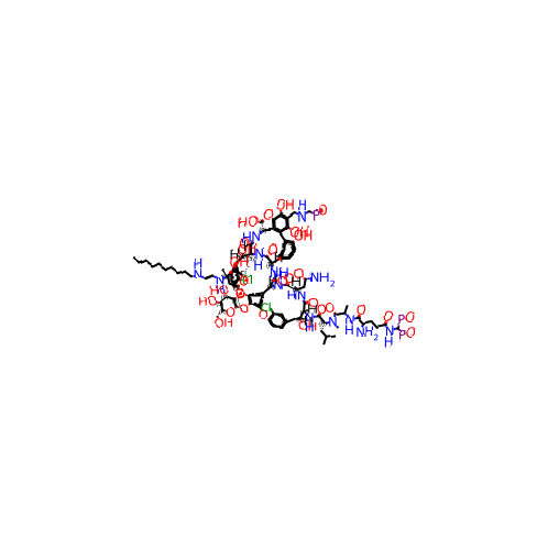 CCCCCCCCCCNCCN[C@@]1(C)C[C@H](O[C@H]2[C@H](Oc3c4cc5cc3Oc3ccc(cc3Cl)[C@@H](O)[C@@H](NC(=O)[C@@H](CC(C)C)N(C)C(=O)C(C)NC(=O)C(N)CCC(=O)NC(P=O)P=O)C(=O)N[C@@H](CC(N)=O)C(=O)N[C@H]5C(=O)N[C@H]3C(=O)N[C@H](C(=O)N[C@H](C(=O)O)c5cc(O)c(CNCP=O)c(O)c5-c5cc3ccc5O)[C@H](O)c3ccc(c(Cl)c3)O4)O[C@H](CO)[C@@H](O)[C@@H]2O)O[C@@H](C)[C@H]1O